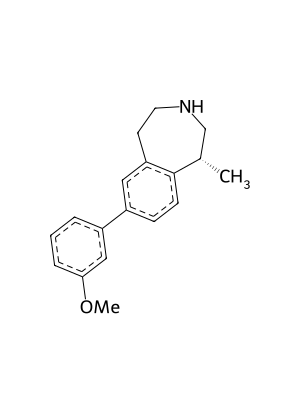 COc1cccc(-c2ccc3c(c2)CCNC[C@@H]3C)c1